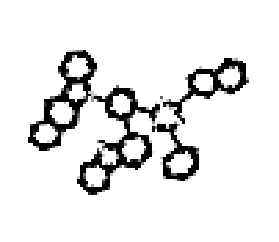 c1ccc(-c2nc(-c3ccc4ccccc4c3)nc(-c3ccc(-n4c5ccccc5c5cc6ccccc6cc54)cc3-c3cccc4c3oc3ccccc34)n2)cc1